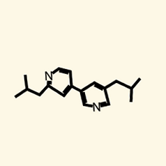 CC(C)Cc1cncc(-c2ccnc(CC(C)C)c2)c1